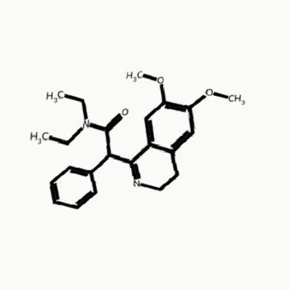 CCN(CC)C(=O)C(C1=NCCc2cc(OC)c(OC)cc21)c1ccccc1